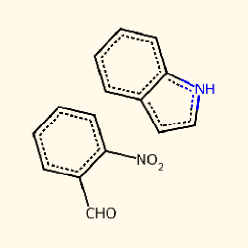 O=Cc1ccccc1[N+](=O)[O-].c1ccc2[nH]ccc2c1